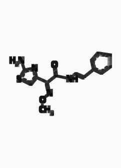 CON=C(C(=O)NC=Cc1ccccc1)c1csc(N)n1